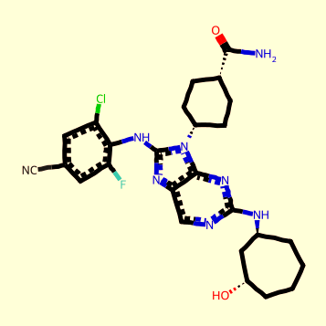 N#Cc1cc(F)c(Nc2nc3cnc(N[C@H]4CCCC[C@H](O)C4)nc3n2[C@H]2CC[C@@H](C(N)=O)CC2)c(Cl)c1